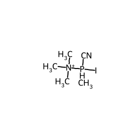 C[N+](C)(C)[PH](C)(I)C#N